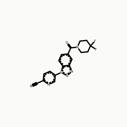 N#Cc1ccc(-n2nnc3cc(C(=O)N4CCC(F)(F)CC4)ccc32)cn1